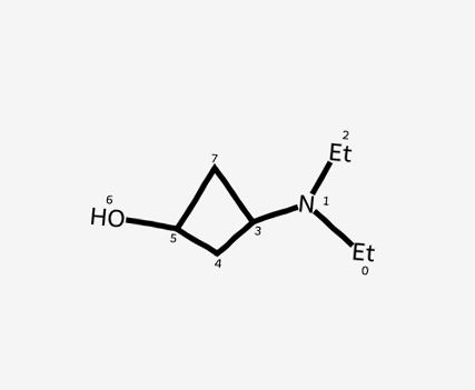 CCN(CC)C1CC(O)C1